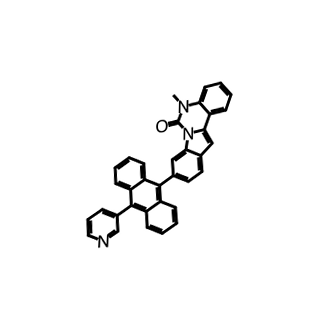 Cn1c(=O)n2c3cc(-c4c5ccccc5c(-c5cccnc5)c5ccccc45)ccc3cc2c2ccccc21